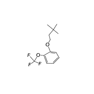 CC(C)(C)CCOc1ccccc1OC(F)(F)F